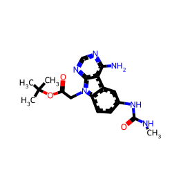 CNC(=O)Nc1ccc2c(c1)c1c(N)ncnc1n2CC(=O)OC(C)(C)C